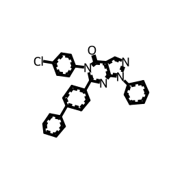 O=c1c2cnn(-c3ccccc3)c2nc(-c2ccc(-c3ccccc3)cc2)n1-c1ccc(Cl)cc1